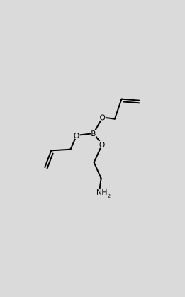 C=CCOB(OCC=C)OCCN